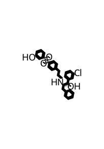 O=S(=O)(c1ccc(CCCNC(Cc2ccccc2)[C@H](O)c2cccc(Cl)c2)cc1)c1cccc(O)c1